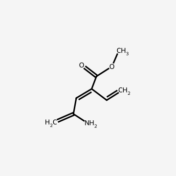 C=C/C(=C\C(=C)N)C(=O)OC